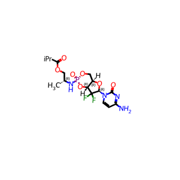 CC(C)C(=O)OC[C@@H](C)NP1(=O)OC[C@H]2O[C@@H](n3ccc(N)nc3=O)C(F)(F)[C@@H]2O1